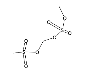 COS(=O)(=O)OCOS(C)(=O)=O